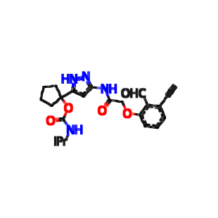 C#Cc1cccc(OCC(=O)Nc2cc(C3(OC(=O)NC(C)C)CCCC3)[nH]n2)c1C=O